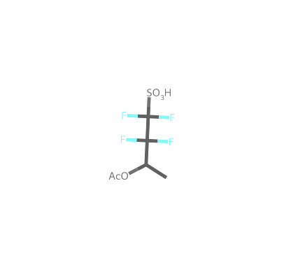 CC(=O)OC(C)C(F)(F)C(F)(F)S(=O)(=O)O